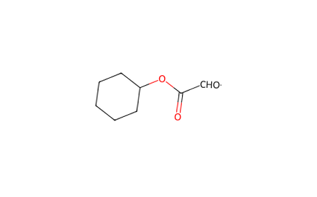 O=[C]C(=O)OC1CCCCC1